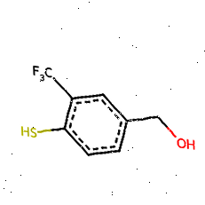 OCc1ccc(S)c(C(F)(F)F)c1